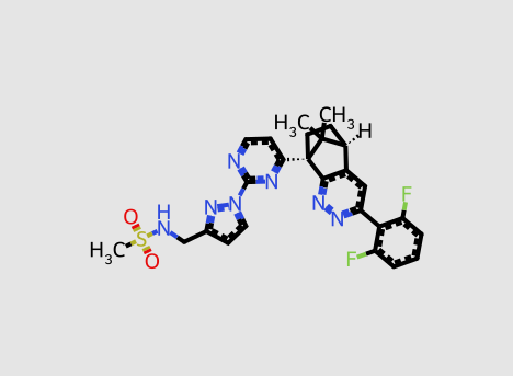 CC1(C)[C@H]2CC[C@]1(c1ccnc(-n3ccc(CNS(C)(=O)=O)n3)n1)c1nnc(-c3c(F)cccc3F)cc12